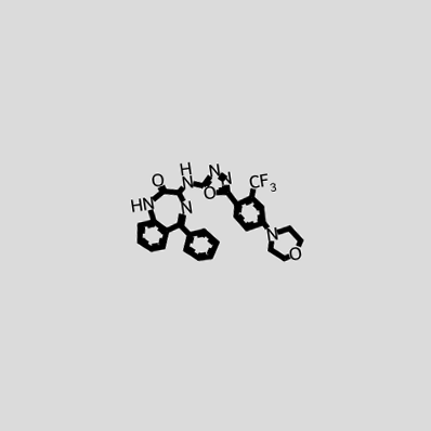 O=C1Nc2ccccc2C(c2ccccc2)=NC1Nc1nnc(-c2ccc(N3CCOCC3)cc2C(F)(F)F)o1